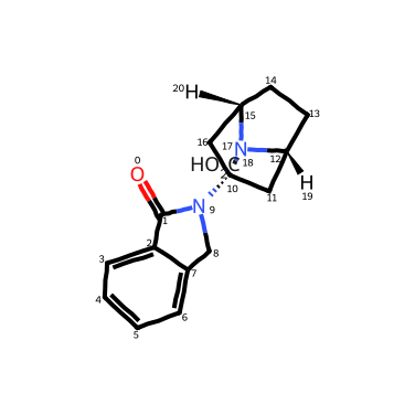 O=C1c2ccccc2CN1[C@H]1C[C@H]2CC[C@@H](C1)N2C(=O)O